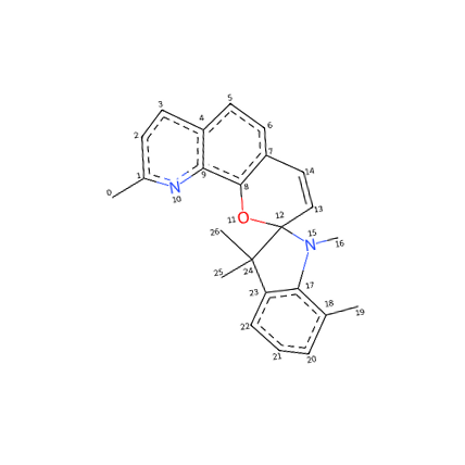 Cc1ccc2ccc3c(c2n1)OC1(C=C3)N(C)c2c(C)cccc2C1(C)C